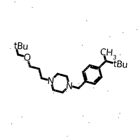 CC(c1ccc(CN2CCN(CCCOCC(C)(C)C)CC2)cc1)C(C)(C)C